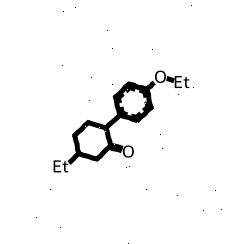 CCOc1ccc(C2CCC(CC)CC2=O)cc1